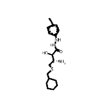 Cc1ccc(NNC(=O)C(O)[C@H](N)CSCC2CCCCC2)cc1